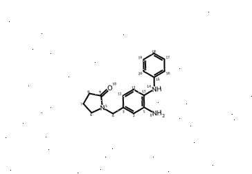 Nc1cc(CN2CCCC2=O)ccc1Nc1ccccc1